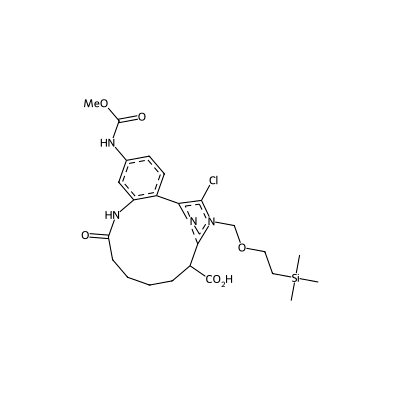 COC(=O)Nc1ccc2c(c1)NC(=O)CCCCC(C(=O)O)c1nc-2c(Cl)n1COCC[Si](C)(C)C